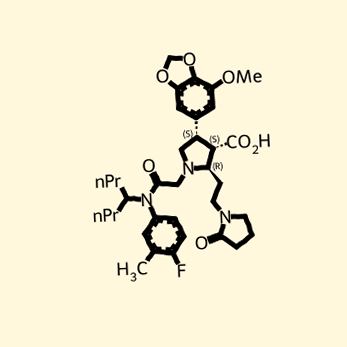 CCCC(CCC)N(C(=O)CN1C[C@H](c2cc(OC)c3c(c2)OCO3)[C@H](C(=O)O)[C@H]1CCN1CCCC1=O)c1ccc(F)c(C)c1